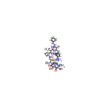 CC[C@H](C)C([C@@H](CC(=O)N1CCC[C@H]1[C@H](OC)[C@@H](C)C(=O)NC(Cc1ccc(N)cc1)C(=O)NCCc1ccccc1)OC)N(C)C(=O)C(NC(=O)[C@H](C(C)C)N(C)C)C(C)C